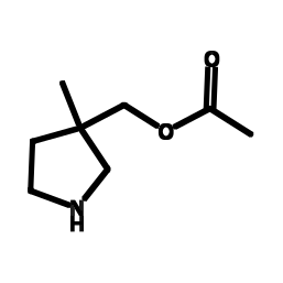 CC(=O)OCC1(C)CCNC1